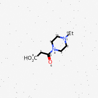 CCN1CCN(C(=O)CC(=O)O)CC1